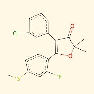 CSc1ccc(C2=C(c3cccc(Cl)c3)C(=O)C(C)(C)O2)c(F)c1